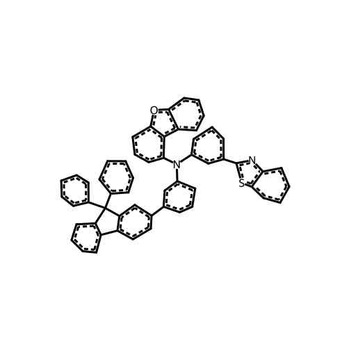 c1ccc(C2(c3ccccc3)c3ccccc3-c3ccc(-c4cccc(N(c5cccc(-c6nc7ccccc7s6)c5)c5cccc6oc7ccccc7c56)c4)cc32)cc1